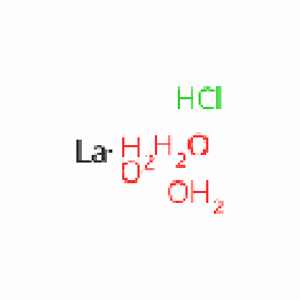 Cl.O.O.O.[La]